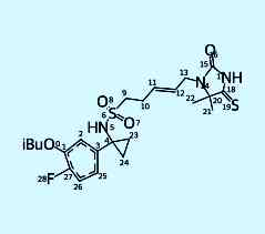 CC(C)COc1cc(C2(NS(=O)(=O)CC/C=C/CN3C(=O)NC(=S)C3(C)C)CC2)ccc1F